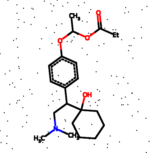 CCC(=O)OC(C)Oc1ccc(C(CN(C)C)C2(O)CCCCC2)cc1